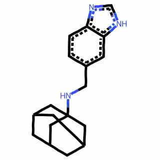 c1nc2ccc(CNC34CC5CC(CC(C5)C3)C4)cc2[nH]1